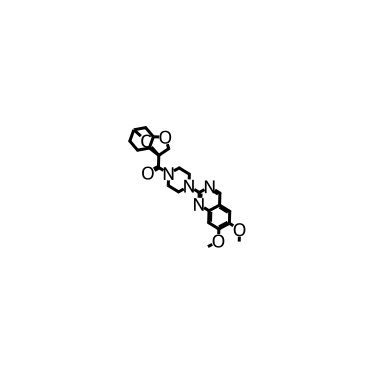 COc1cc2cnc(N3CCN(C(=O)C45COC6CC(CCC64)C5)CC3)nc2cc1OC